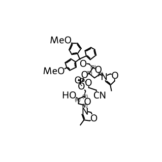 COc1ccc(C(OC[C@H]2O[C@@H](N3C=C(C)COC3)C[C@H]2OP(=O)(OCCC#N)OC[C@H]2O[C@@H](N3C=C(C)COC3)C[C@H]2O)(c2ccccc2)c2ccc(OC)cc2)cc1